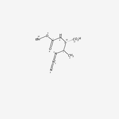 CC(N=[N+]=[N-])[C@H](NC(=O)OC(C)(C)C)C(=O)O